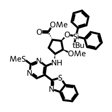 COC(=O)[C@H]1C[C@@H](Nc2nc(SC)ncc2-c2nc3ccccc3s2)[C@H](OC)[C@@H]1O[Si](c1ccccc1)(c1ccccc1)C(C)(C)C